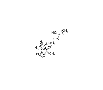 CCC(O)CCCCO[Si](C(C)C)(C(C)C)C(C)C